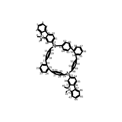 C[Si]1(C)c2ccccc2-c2ccc(N3c4ccc(cc4)-c4ccccc4-c4ccc(cc4)N(c4ccc5c(c4)[Si](C)(C)c4ccccc4-5)c4ccc(cc4)-c4ccccc4-c4ccc3cc4)cc21